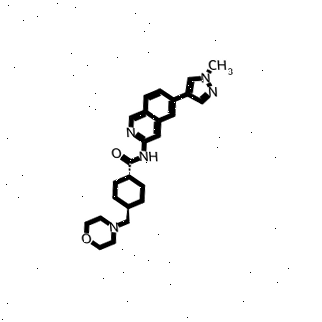 Cn1cc(-c2ccc3cnc(NC(=O)[C@H]4CC[C@H](CN5CCOCC5)CC4)cc3c2)cn1